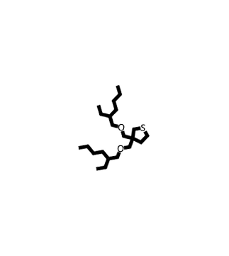 CCCCC(CC)COCC1(COCC(CC)CCCC)CCSC1